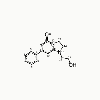 O=c1cc(-c2ccccc2)cc2n1CCN2CCO